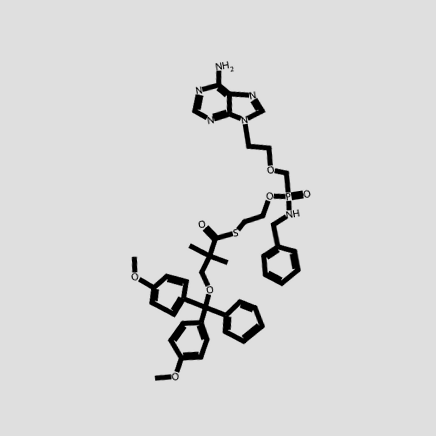 COc1ccc(C(OCC(C)(C)C(=O)SCCOP(=O)(COCCn2cnc3c(N)ncnc32)NCc2ccccc2)(c2ccccc2)c2ccc(OC)cc2)cc1